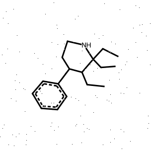 CCC1C(c2ccccc2)CCNC1(CC)CC